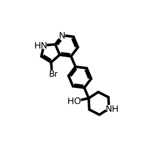 OC1(c2ccc(-c3ccnc4[nH]cc(Br)c34)cc2)CCNCC1